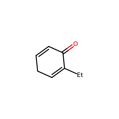 CCC1=CCC=CC1=O